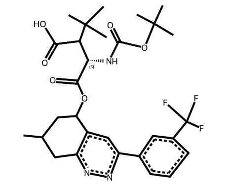 CC1Cc2nnc(-c3cccc(C(F)(F)F)c3)cc2C(OC(=O)[C@@H](NC(=O)OC(C)(C)C)C(C(=O)O)C(C)(C)C)C1